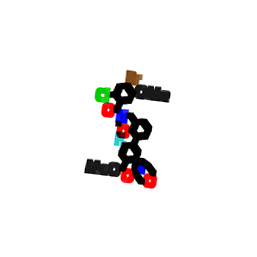 COC(=O)c1cc(F)c(-c2cccc3c2OCN(C(=O)c2cc(OC)c(Br)cc2Cl)C3)cc1N1C2CCC1COC2